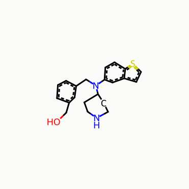 OCc1cccc(CN(c2ccc3sccc3c2)C2CCNCC2)c1